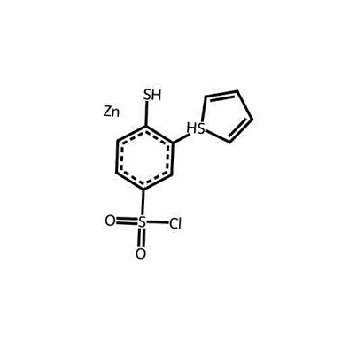 O=S(=O)(Cl)c1ccc(S)c([SH]2C=CC=C2)c1.[Zn]